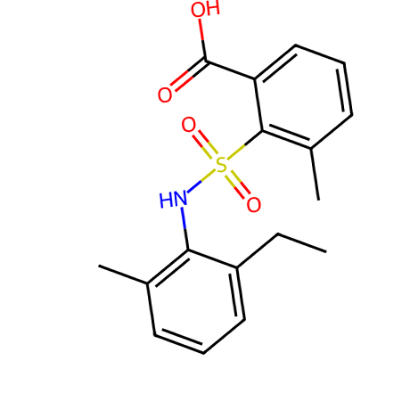 CCc1cccc(C)c1NS(=O)(=O)c1c(C)cccc1C(=O)O